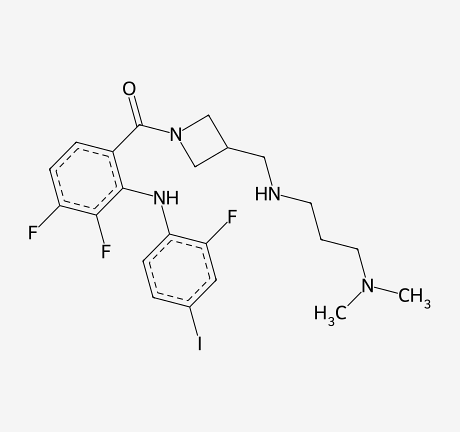 CN(C)CCCNCC1CN(C(=O)c2ccc(F)c(F)c2Nc2ccc(I)cc2F)C1